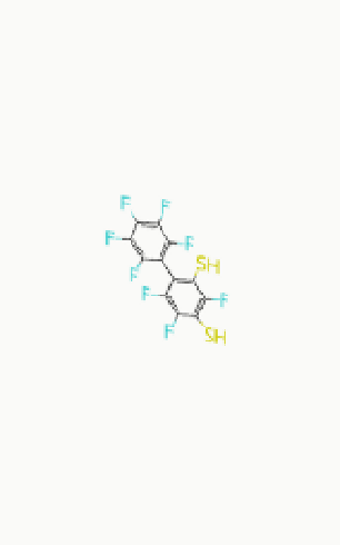 Fc1c(F)c(F)c(-c2c(F)c(F)c(S)c(F)c2S)c(F)c1F